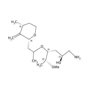 C=C1[C@H](C)CCO[C@@H]1CC(C)O[C@H](C[C@H](O)CN)[C@@H](C)OC